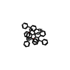 Cc1ccc(-c2ccccc2)c(-c2ccccc2)c1[Si](Cl)(c1c(C)ccc(-c2ccccc2)c1-c1ccccc1)c1c(C)ccc(-c2ccccc2)c1-c1ccccc1